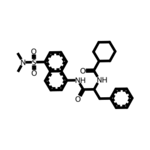 CN(C)S(=O)(=O)c1cccc2c(NC(=O)C(Cc3ccccc3)NC(=O)C3CCCCC3)cccc12